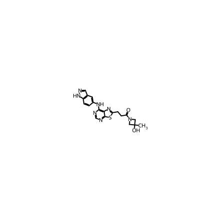 CC1(O)CN(C(=O)CCc2nc3c(Nc4ccc5[nH]ncc5c4)ncnc3s2)C1